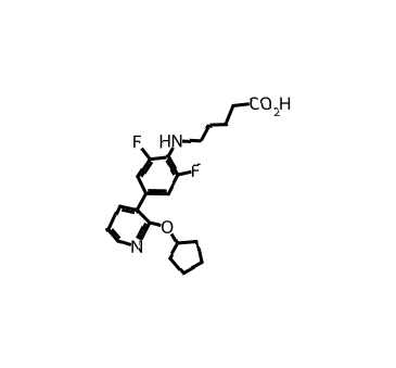 O=C(O)CCCCNc1c(F)cc(-c2cccnc2OC2CCCC2)cc1F